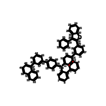 c1ccc(-c2ccccc2N(c2ccc(-c3cccc(-c4oc5ccccc5c4-c4ccccc4)c3)cc2)c2ccc(-c3cccc(-c4cccc5ccccc45)c3)cc2)cc1